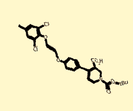 Cc1cc(Cl)c(OCCOc2ccc(C3CCN(C(=O)OC(C)(C)C)CC3C(=O)O)cc2)c(Cl)c1